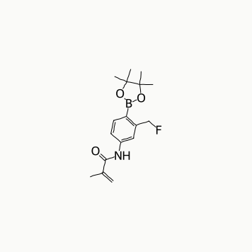 C=C(C)C(=O)Nc1ccc(B2OC(C)(C)C(C)(C)O2)c(CF)c1